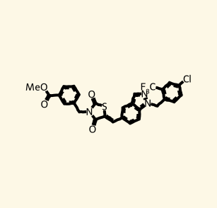 COC(=O)c1cccc(CN2C(=O)SC(=Cc3ccc4c(cnn4Cc4ccc(Cl)cc4C(F)(F)F)c3)C2=O)c1